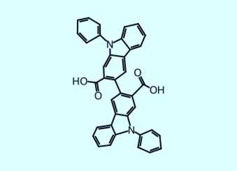 O=C(O)c1cc2c(cc1-c1cc3c4ccccc4n(-c4ccccc4)c3cc1C(=O)O)c1ccccc1n2-c1ccccc1